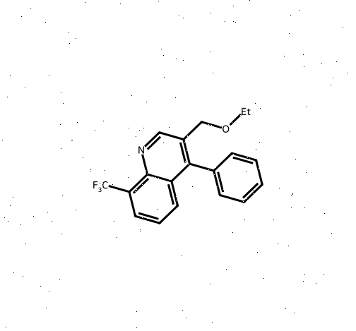 CCOCc1cnc2c(C(F)(F)F)cccc2c1-c1ccccc1